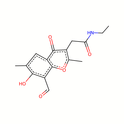 CCNC(=O)Cc1c(C)oc2c(C=O)c(O)c(C)cc2c1=O